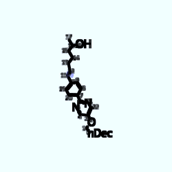 CCCCCCCCCCCOc1cnc(-c2ccc(/C=C/CCCC(C)O)cc2)nc1